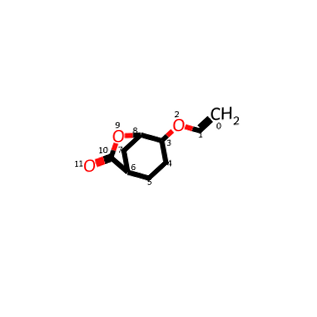 C=COC1CCC2CC1OC2=O